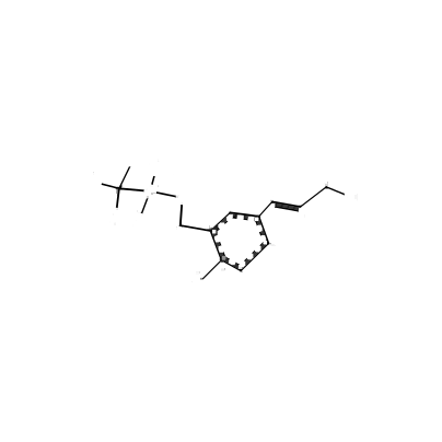 CC(C)(C)[Si](C)(C)OCc1cc(C=CCO)ccc1Cl